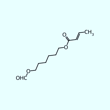 CC=CC(=O)OCCCCCCOC=O